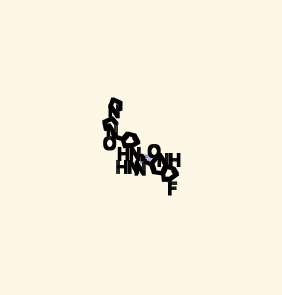 N=N/C(=C\Nc1cccc(C(=O)N2CCC(N3CCCC3)C2)c1)c1cc2cc(F)ccc2[nH]c1=O